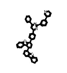 c1ccc(-c2cc(-c3ccc(-c4ccc(-c5cccc6c5oc5ccccc56)c5c4oc4ccccc45)cc3)nc(-c3cccc(-c4cccnc4)c3)n2)cc1